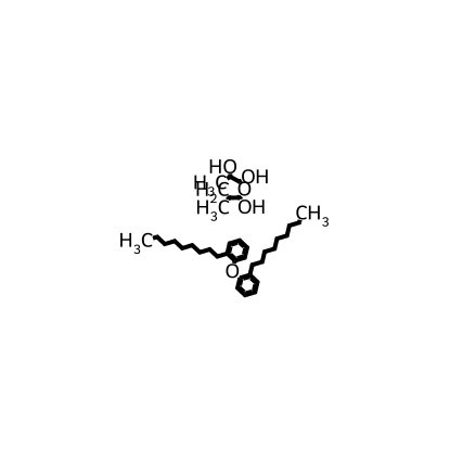 C=C(C)C(=O)O.CC(O)CO.CCCCCCCCCc1ccccc1Oc1ccccc1CCCCCCCCC